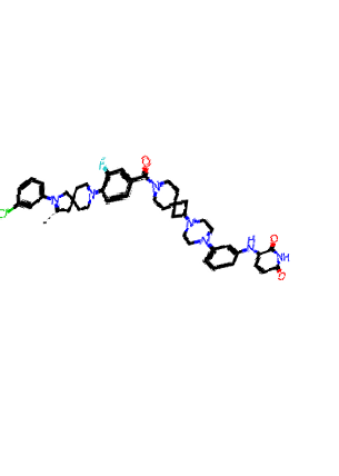 C[C@H]1CC2(CCN(c3ccc(C(=O)N4CCC5(CC4)CC(N4CCN(c6cccc(NC7CCC(=O)NC7=O)c6)CC4)C5)cc3F)CC2)CN1c1cccc(Cl)c1